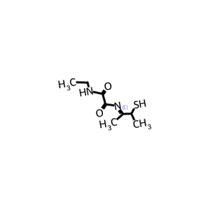 CCNC(=O)C(=O)/N=C(\C)C(C)S